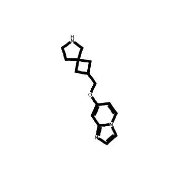 c1cn2ccc(OCC3CC4(CCNC4)C3)cc2n1